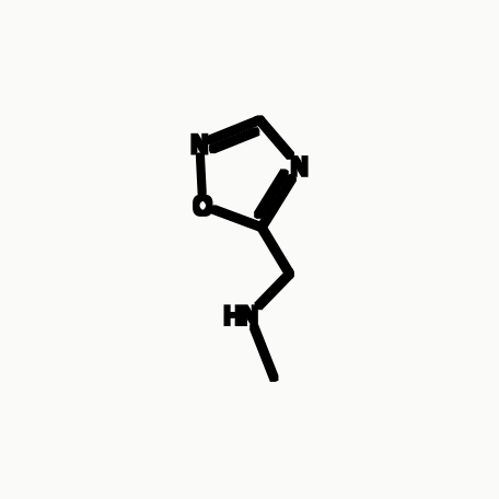 CNCc1ncno1